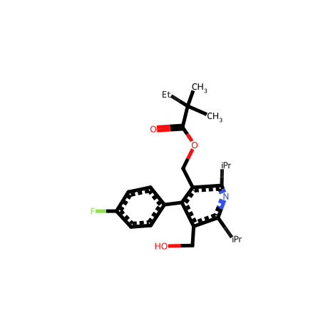 CCC(C)(C)C(=O)OCc1c(C(C)C)nc(C(C)C)c(CO)c1-c1ccc(F)cc1